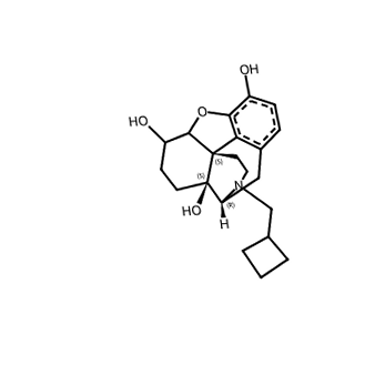 Oc1ccc2c3c1OC1C(O)CC[C@@]4(O)[C@@H](C2)N(CC2CCC2)CC[C@]314